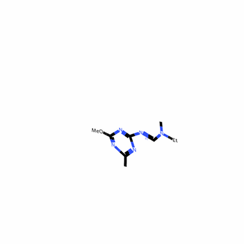 CCN(C)/C=N/c1nc(C)nc(OC)n1